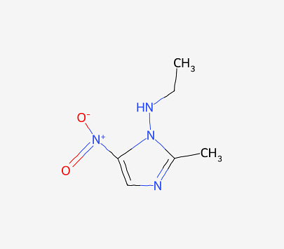 CCNn1c([N+](=O)[O-])cnc1C